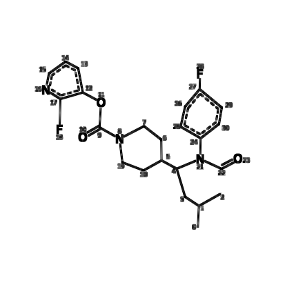 CC(C)CC(C1CCN(C(=O)Oc2cccnc2F)CC1)N(C=O)c1ccc(F)cc1